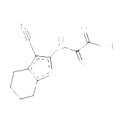 N#Cc1c(NC(=O)C(=O)O)sc2c1CCCC2